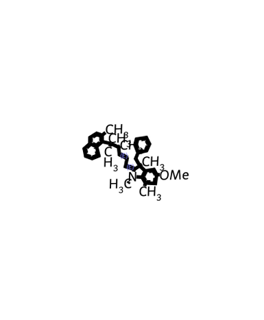 C=C(/C=C/C=C1/N(C)c2c(C)cc(OC)cc2C1(C)Cc1ccccc1)C(C)(C)c1c(C)ccc2ccccc12